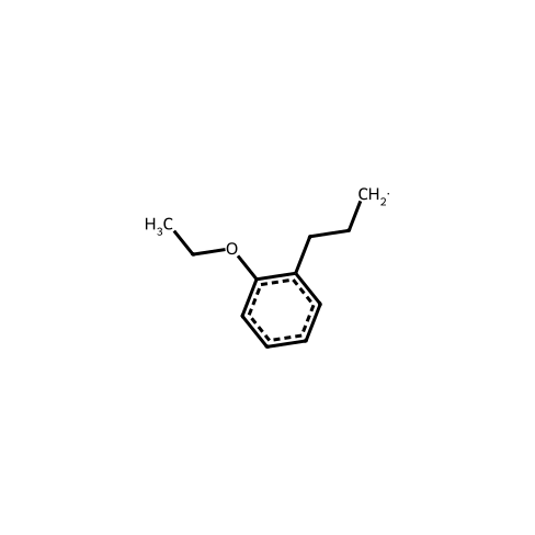 [CH2]CCc1ccccc1OCC